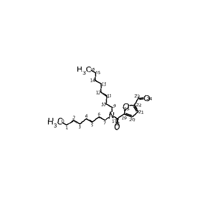 CCCCCCCCN(CCCCCCCC)C(=O)c1ccc(C=O)o1